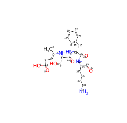 CC(CCC(=O)O)N[C@@H](CO)C(=O)N[C@H](Cc1ccccc1)C(=O)N[C@@H](C=O)CCCCN